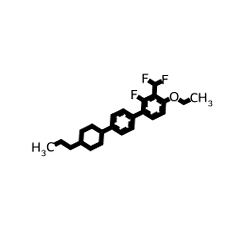 CCCC1CCC(c2ccc(-c3ccc(OCC)c(C(F)F)c3F)cc2)CC1